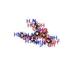 NC[C@@H]1O[C@H](O[C@H]2[C@@H](O)[C@H](O[C@@H]3[C@@H](O)[C@H](NC(=O)[C@@H](O)[C@@H](O)CN)C[C@H](N)[C@H]3O[C@H]3OC(CNCC4(O)CCNCC4)=CC[C@H]3N)O[C@@H]2CO)[C@H](N)[C@@H](O)[C@@H]1O